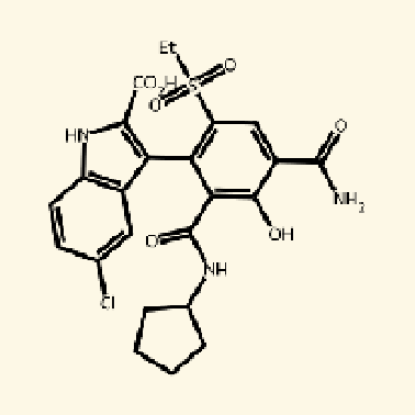 CCS(=O)(=O)c1cc(C(N)=O)c(O)c(C(=O)NC2CCCC2)c1-c1c(C(=O)O)[nH]c2ccc(Cl)cc12